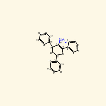 NC1=C(c2ccccc2)CC(c2ccccc2)CC1c1ccccc1